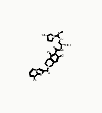 C/N=C(\NC[C@H](NC(=O)c1c(Cl)cc2c(c1Cl)CCN(C(=O)c1cn3cccc(O)c3n1)C2)C(=O)O)N1CC[C@H](O)C1